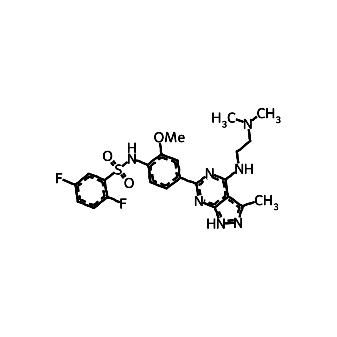 COc1cc(-c2nc(NCCN(C)C)c3c(C)n[nH]c3n2)ccc1NS(=O)(=O)c1cc(F)ccc1F